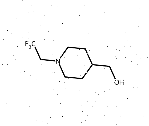 OCC1CCN(CC(F)(F)F)CC1